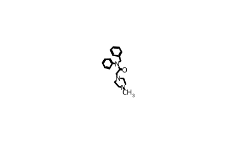 CN1CCN(CC(=O)N(Cc2ccccc2)c2ccccc2)CC1